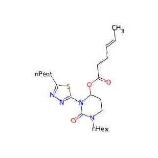 CC=CCCC(=O)OC1CCN(CCCCCC)C(=O)N1c1nnc(CCCCC)s1